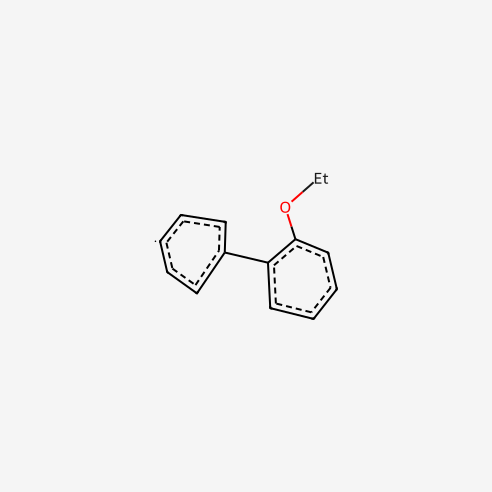 CCOc1ccccc1-c1cc[c]cc1